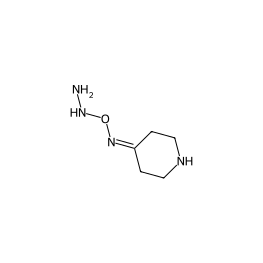 NNON=C1CCNCC1